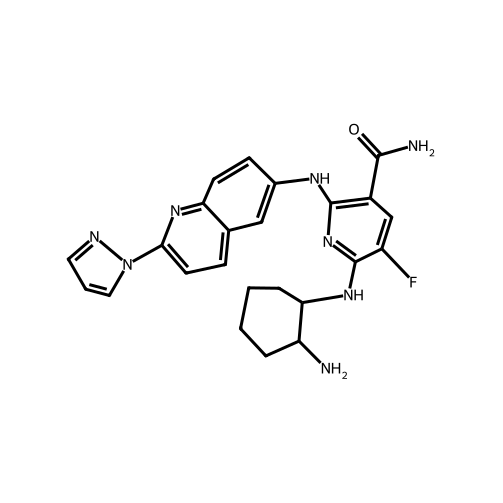 NC(=O)c1cc(F)c(NC2CCCCC2N)nc1Nc1ccc2nc(-n3cccn3)ccc2c1